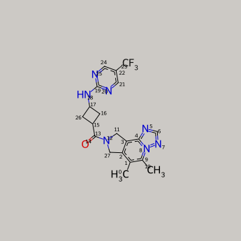 Cc1c2c(c3ncnn3c1C)CN(C(=O)C1CC(Nc3ncc(C(F)(F)F)cn3)C1)C2